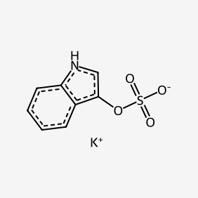 O=S(=O)([O-])Oc1c[nH]c2ccccc12.[K+]